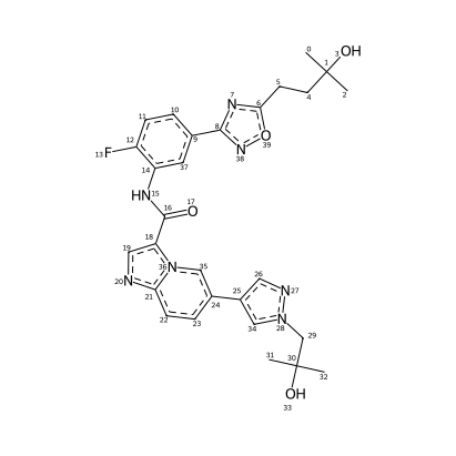 CC(C)(O)CCc1nc(-c2ccc(F)c(NC(=O)c3cnc4ccc(-c5cnn(CC(C)(C)O)c5)cn34)c2)no1